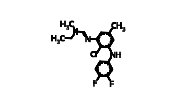 CCN(C)C=Nc1cc(C)cc(Nc2ccc(F)c(F)c2)c1Cl